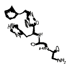 NCC(=O)NCC(=O)N[C@@H](Cc1c[nH]cn1)c1nc(Cc2ccccc2)no1